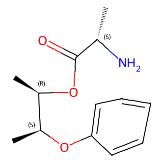 C[C@H](N)C(=O)O[C@H](C)[C@H](C)Oc1ccccc1